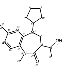 CC(O)C1CN(C2CCCC2)c2nc(Cl)ncc2N(C)C1=O